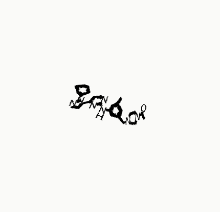 CC(=O)N1CCN(Cc2cc(C)cc(Nc3nccc(-c4ccnn4-c4ccccc4)n3)c2)CC1